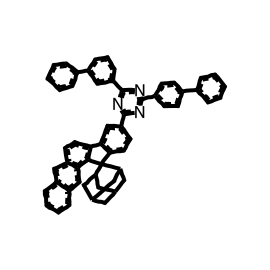 c1ccc(-c2ccc(-c3nc(-c4cccc(-c5ccccc5)c4)nc(-c4ccc5c(c4)-c4ccc6cc7ccccc7cc6c4C54C5CC6CC(C5)CC4C6)n3)cc2)cc1